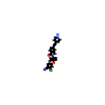 CC1(C)C(Oc2ccc(C#N)c(Cl)c2)C(C)(C)C1N1Cc2cc(C#CC3CCNCC3)ccc2C1=O